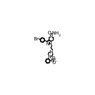 NC(=O)N1CCc2c(c(-c3ccc(Br)cc3)nn2CCCN2CCN(c3ccccc3[N+](=O)[O-])CC2)C1